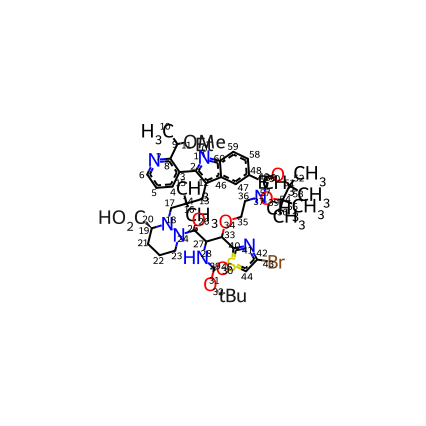 CCn1c(-c2cccnc2C(C)OC)c(CC(C)(C)CN2[C@H](C(=O)O)CCCN2C(=O)C(NC(=O)OC(C)(C)C)C(OCCN(C)C)c2nc(Br)cs2)c2cc(B3OC(C)(C)C(C)(C)O3)ccc21